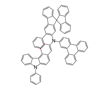 c1ccc(-c2cc3c(cc2N(c2ccc4c(ccc5c4c4ccccc4n5-c4ccccc4)c2)c2ccc4c5ccccc5c5ccccc5c4c2)C2(c4ccccc4-c4ccccc42)c2ccccc2-3)cc1